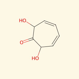 O=C1C(O)C=CC=CC1O